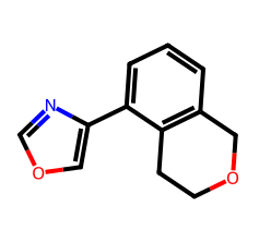 c1cc2c(c(-c3cocn3)c1)CCOC2